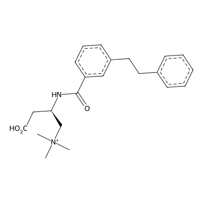 C[N+](C)(C)C[C@@H](CC(=O)O)NC(=O)c1cccc(CCc2ccccc2)c1